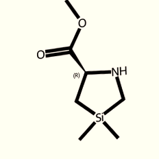 COC(=O)[C@@H]1C[Si](C)(C)CN1